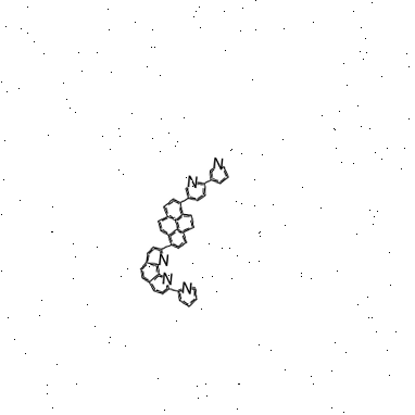 c1ccc(-c2ccc3ccc4ccc(-c5ccc6ccc7c(-c8ccc(-c9cccnc9)nc8)ccc8ccc5c6c87)nc4c3n2)nc1